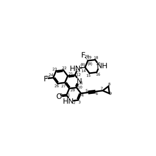 O=c1[nH]cc(C#CC2CC2)c2nc(N[C@@H]3CCNC[C@H]3F)c3ccc(F)cc3c12